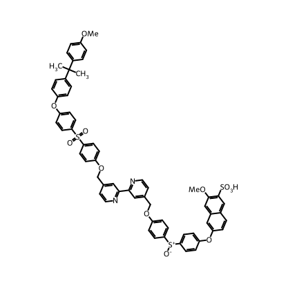 COc1ccc(C(C)(C)c2ccc(Oc3ccc(S(=O)(=O)c4ccc(OCc5ccnc(-c6cc(COc7ccc([S+]([O-])c8ccc(Oc9ccc%10cc(S(=O)(=O)O)c(OC)cc%10c9)cc8)cc7)ccn6)c5)cc4)cc3)cc2)cc1